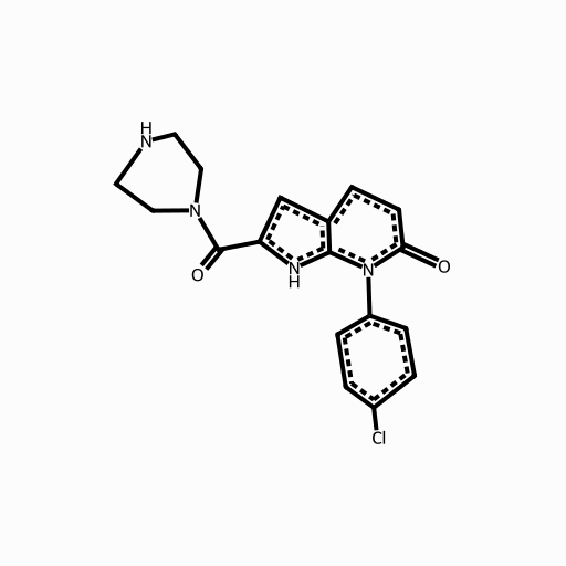 O=C(c1cc2ccc(=O)n(-c3ccc(Cl)cc3)c2[nH]1)N1CCNCC1